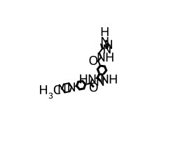 CN1CCN(c2ccc(C(=O)Nc3n[nH]c4ccc(C(=O)NCc5c[nH]nn5)cc34)cc2)CC1